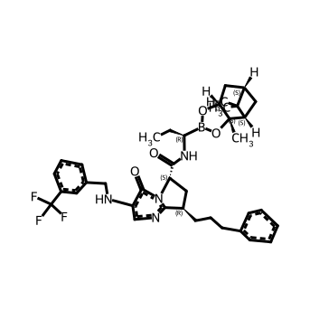 CC[C@H](NC(=O)[C@@H]1C[C@@H](CCCc2ccccc2)c2ncc(NCc3cccc(C(F)(F)F)c3)c(=O)n21)B1O[C@@H]2C[C@@H]3C[C@@H](C3(C)C)[C@]2(C)O1